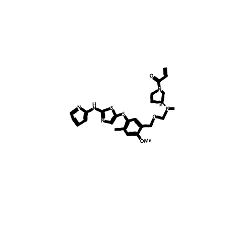 C=CC(=O)N1CC[C@@H](N(C)COCc2cc(Sc3cnc(Nc4ccccn4)s3)c(C)cc2OC)C1